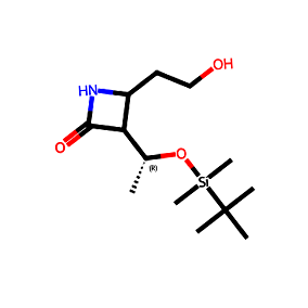 C[C@@H](O[Si](C)(C)C(C)(C)C)C1C(=O)NC1CCO